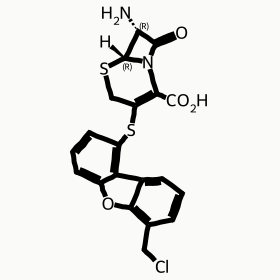 N[C@@H]1C(=O)N2C(C(=O)O)=C(Sc3cccc4oc5c(CCl)cccc5c34)CS[C@H]12